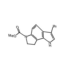 COC(=O)N1CCc2c1ccc1c(C(C)C)c[nH]c21